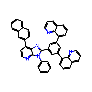 c1ccc(-n2c(-c3cc(-c4cccc5cccnc45)cc(-c4cccc5cccnc45)c3)nc3c(-c4ccc5ccccc5c4)ccnc32)cc1